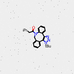 CC(C)CC(=O)N1Cc2ccccc2-c2c(nnn2C(C)(C)C)-c2ccccc21